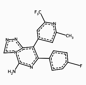 Cc1cc(-c2c(-c3ccc(F)cc3)nc(N)n3cnnc23)cc(C(F)(F)F)n1